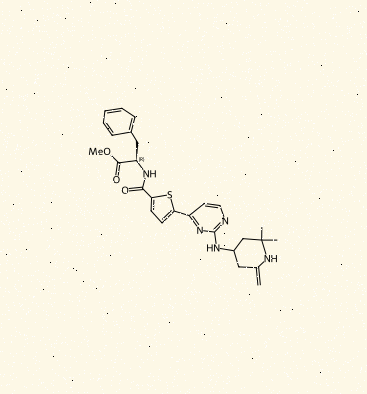 C=C1CC(Nc2nccc(-c3ccc(C(=O)N[C@H](Cc4ccccc4)C(=O)OC)s3)n2)CC(C)(C)N1